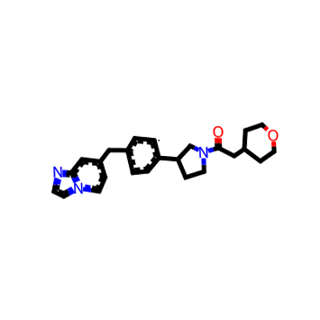 O=C(CC1CCOCC1)N1CCC(c2[c]cc(Cc3ccn4ccnc4c3)cc2)C1